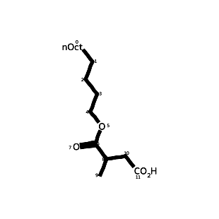 CCCCCCCCCCCCOC(=O)C(C)CC(=O)O